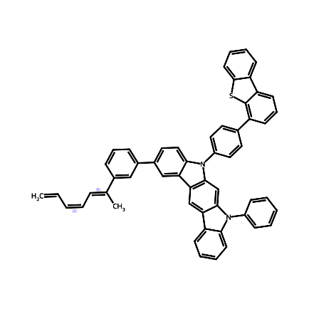 C=C/C=C\C=C(/C)c1cccc(-c2ccc3c(c2)c2cc4c5ccccc5n(-c5ccccc5)c4cc2n3-c2ccc(-c3cccc4c3sc3ccccc34)cc2)c1